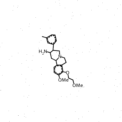 COCCOc1c(OC)ccc2c1CCN1CC(c3cccc(C)c3)C(N)CC21